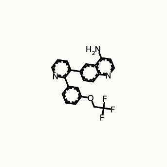 Nc1ccnc2ccc(-c3cccnc3-c3cccc(OCC(F)(F)F)c3)cc12